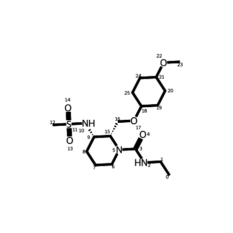 CCNC(=O)N1CCC[C@H](NS(C)(=O)=O)[C@@H]1COC1CCC(OC)CC1